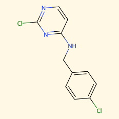 Clc1ccc(CNc2ccnc(Cl)n2)cc1